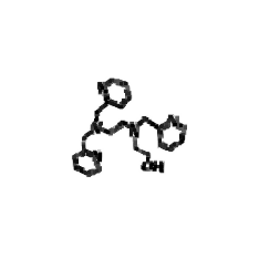 OCCN(/C=C/N(Cc1ccccn1)Cc1ccccn1)Cc1ccccn1